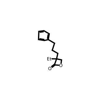 CCC1(CCCc2ccccc2)COC1=O